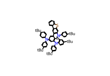 CC(C)(C)c1ccc(N2B3c4cc(C(C)(C)C)ccc4N(c4ccc(C(C)(C)C)cc4)c4cc(N(c5ccc(C(C)(C)C)cc5)c5ccc(C(C)(C)C)cc5)cc(c43)-c3cc4c(cc32)sc2ccccc24)cc1